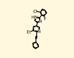 CCc1cc(-c2c[nH]c(-c3c(F)cccc3Cl)n2)cnc1C#Cc1ccccc1